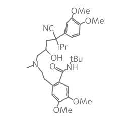 COc1ccc(C(C#N)(CC(O)CN(C)CCc2cc(OC)c(OC)cc2C(=O)NC(C)(C)C)C(C)C)cc1OC